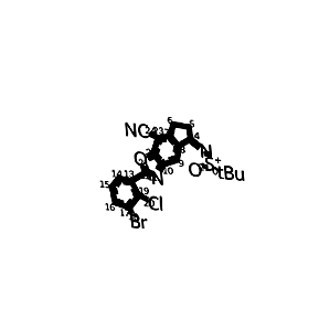 CC(C)(C)[S@+]([O-])/N=C1/CCc2c1cc1nc(-c3cccc(Br)c3Cl)oc1c2C#N